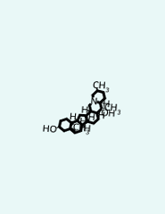 C[C@H]1CC[C@@H]2N(C1)C[C@H]1[C@@H]3C[C@H]4[C@@H](CC=C5C[C@H](O)CC[C@@]54C)[C@@H]3CC[C@@H]1[C@]2(C)O